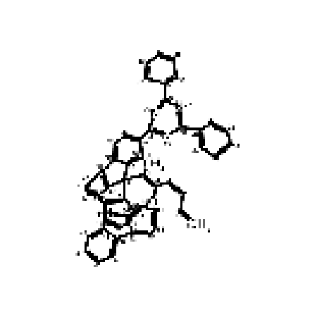 C=C/C=C\C1=C(C)C2(c3ccccc3O1)c1cc(-c3nc(-c4ccccc4)nc(-c4ccccc4)n3)ccc1-c1cccc(-n3c4ccccc4c4ccccc43)c12